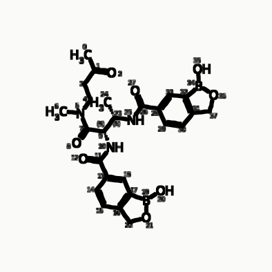 CC(=O)CCN(C)C(=O)[C@@H](NC(=O)c1ccc2c(c1)B(O)OC2)[C@H](C)NC(=O)c1ccc2c(c1)B(O)OC2